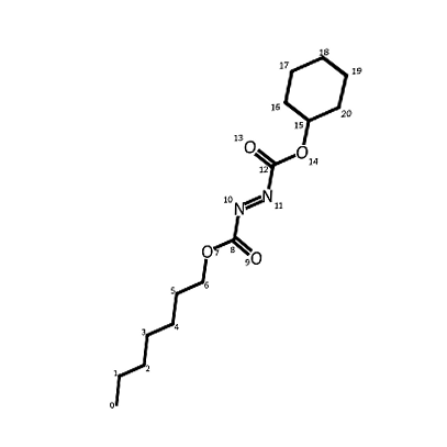 CCCCCCCOC(=O)/N=N/C(=O)OC1CCCCC1